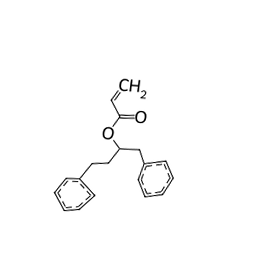 C=CC(=O)OC(CCc1ccccc1)Cc1ccccc1